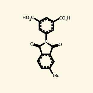 CC(C)(C)c1ccc2c(c1)C(=O)N(c1cc(C(=O)O)cc(C(=O)O)c1)C2=O